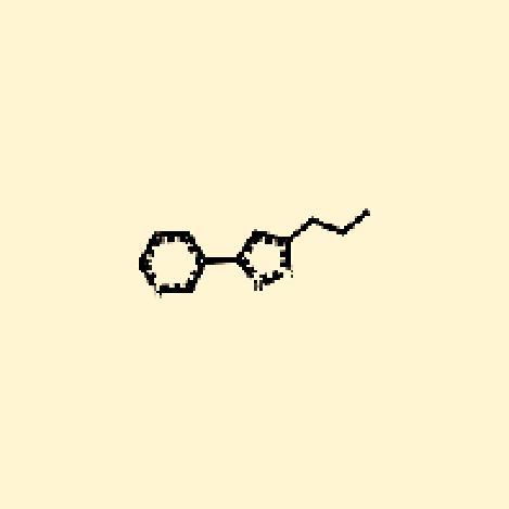 CCCc1cc(-c2cccnc2)no1